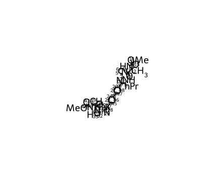 CCCc1[nH]c([C@@H]2CCCN2C(=O)[C@H](C)NC(=O)OC)nc1-c1ccc(-c2ccc(-c3cnc([C@@H]4CCCN4C(=O)[C@H](C)NC(=O)OC)[nH]3)cc2)cc1